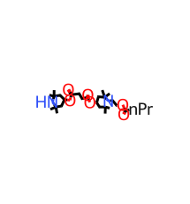 CCCC(=O)OCCN1C(C)(C)CC(OC(=O)CCC(=O)OC2CC(C)(C)NC(C)(C)C2)CC1(C)C